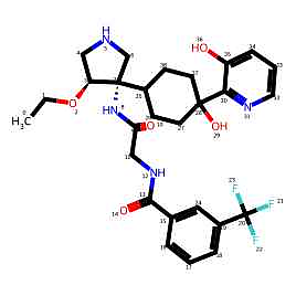 CCO[C@H]1CNC[C@@]1(NC(=O)CNC(=O)c1cccc(C(F)(F)F)c1)C1CCC(O)(c2ncccc2O)CC1